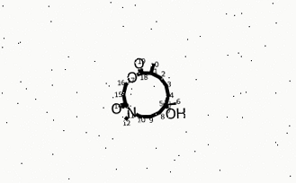 CC1CCC[C@](C)(O)CCCN(C)C(=O)CCOC1=O